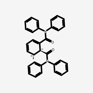 C[C@@H]1C=CC=C(C(=O)N(c2ccccc2)c2ccccc2)[C@H]1C(=O)N(c1ccccc1)c1ccccc1